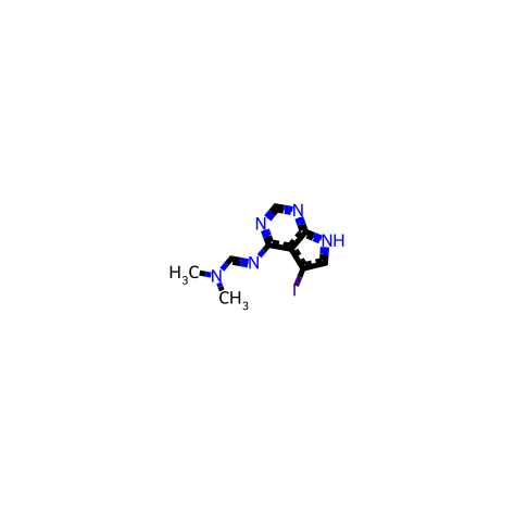 CN(C)C=Nc1ncnc2[nH]cc(I)c12